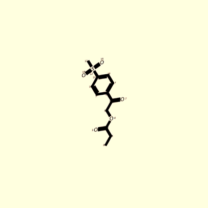 CCC(=O)OCC(=O)c1ccc(S(C)(=O)=O)cc1